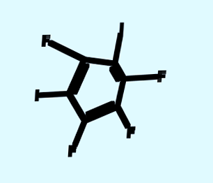 Fc1c(F)c(I)c(F)c(I)c1F